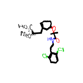 CO[C@@H](CC1=CC=CC(OC(C)(C)C(=O)NCCc2c(Cl)cccc2Cl)C1)C(=O)O